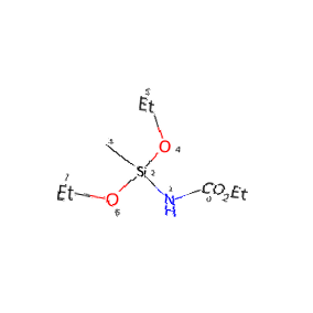 CCOC(=O)N[Si](C)(OCC)OCC